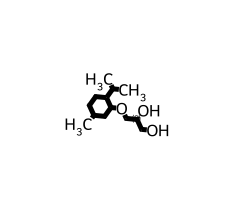 CC1CCC(C(C)C)C(OC[C@@H](O)CO)C1